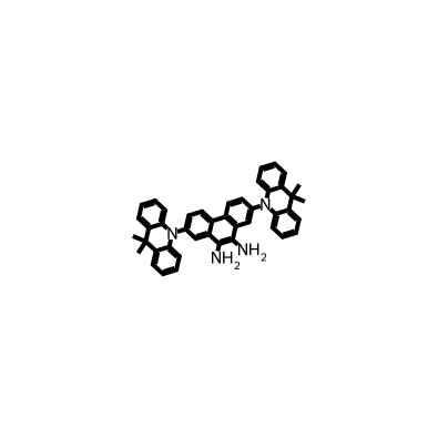 CC1(C)c2ccccc2N(c2ccc3c(c2)c(N)c(N)c2cc(N4c5ccccc5C(C)(C)c5ccccc54)ccc23)c2ccccc21